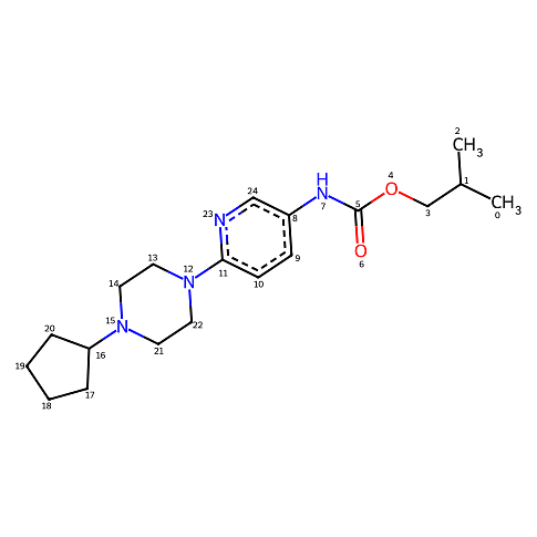 CC(C)COC(=O)Nc1ccc(N2CCN(C3CCCC3)CC2)nc1